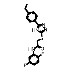 CCc1ccc(-c2nnc(SCC(=O)Nc3cc(F)ccc3F)[nH]2)cc1